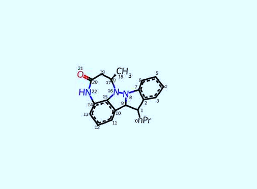 CCCC1c2ccccc2N2C1c1cccc3c1N2[C@H](C)CC(=O)N3